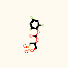 O=C(Oc1c(F)cc(F)cc1F)OC1COS(=O)(=O)C1